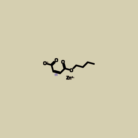 CCCCOC(=O)/C=C\C(=O)[O-].[Zn+]